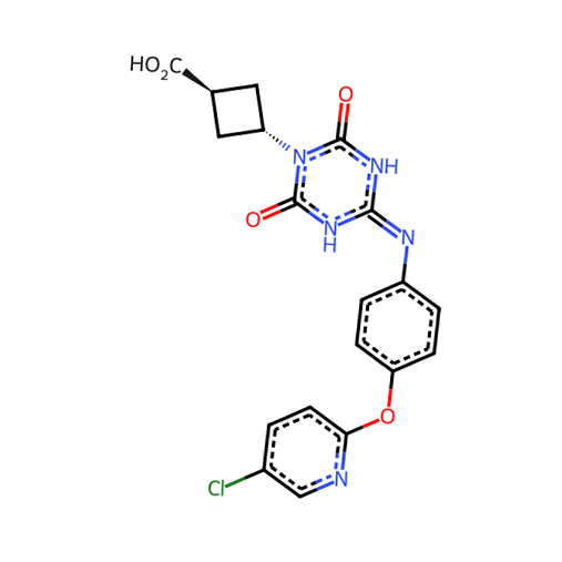 O=c1[nH]c(=Nc2ccc(Oc3ccc(Cl)cn3)cc2)[nH]c(=O)n1[C@H]1C[C@H](C(=O)O)C1